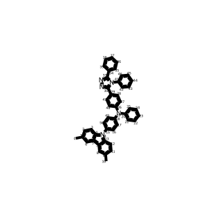 Cc1ccc2c(c1)c1cc(C)ccc1n2-c1ccc(N(c2ccccc2)c2ccc(-c3nnc(-c4ccccc4)n3-c3ccccc3)cc2)cc1